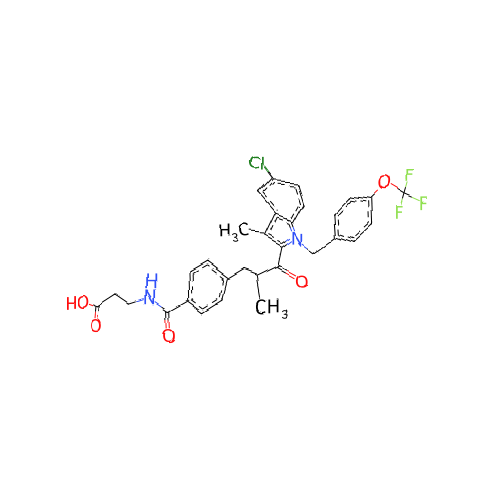 Cc1c(C(=O)C(C)Cc2ccc(C(=O)NCCC(=O)O)cc2)n(Cc2ccc(OC(F)(F)F)cc2)c2ccc(Cl)cc12